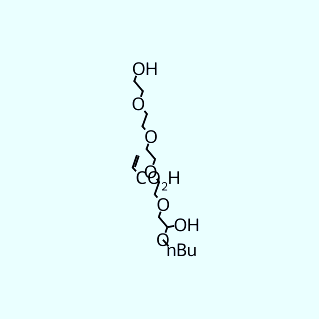 C=CC(=O)O.CCCCOC(O)COCCOCCOCCOCCO